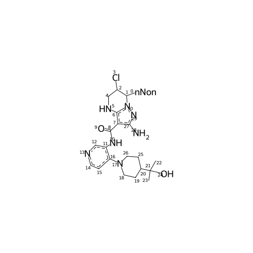 CCCCCCCCCC1C(Cl)CNc2c(C(=O)Nc3cnccc3N3CCC(C(C)(C)O)CC3)c(N)nn21